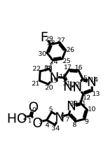 O=C(O)OC1CN(c2cccc(-c3cnc4ccc(N5CCC[C@@H]5c5cccc(F)c5)nn34)n2)C1